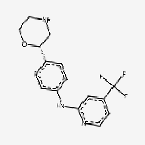 FC(F)(F)c1ccnc(Nc2ccc([C@H]3CNCCO3)nc2)c1